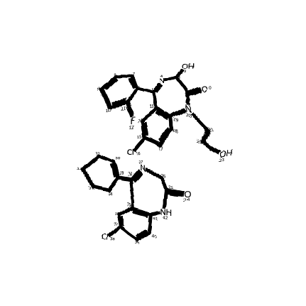 O=C1C(O)N=C(c2ccccc2F)c2cc(Cl)ccc2N1CCO.O=C1CN=C(C2=CCCCC2)c2cc(Cl)ccc2N1